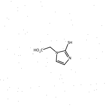 O=C(O)Cn1ccnc1S